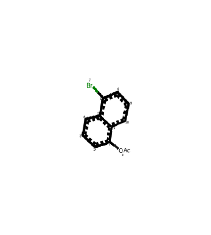 CC(=O)Oc1cccc2c(Br)cccc12